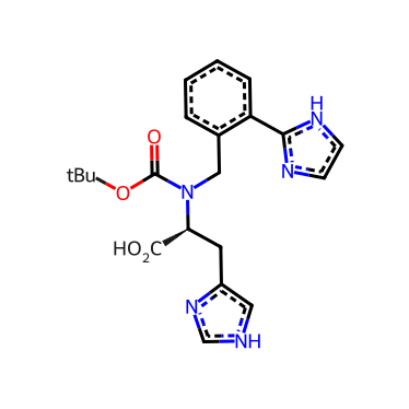 CC(C)(C)OC(=O)N(Cc1ccccc1-c1ncc[nH]1)[C@@H](Cc1c[nH]cn1)C(=O)O